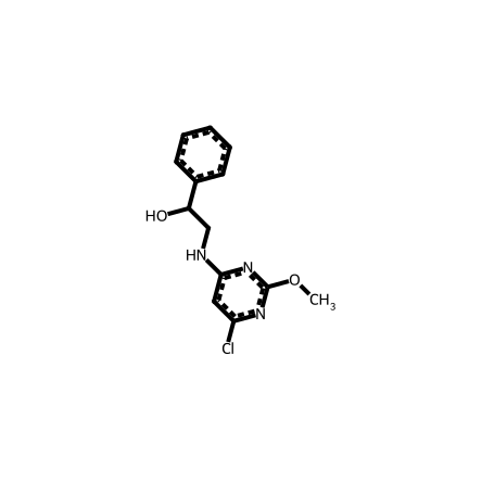 COc1nc(Cl)cc(NCC(O)c2ccccc2)n1